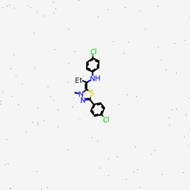 CC/C(Nc1ccc(Cl)cc1)=C1/SC(c2ccc(Cl)cc2)=NN1C